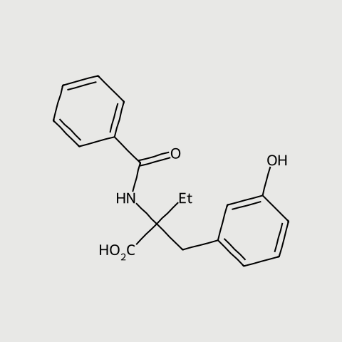 CCC(Cc1cccc(O)c1)(NC(=O)c1ccccc1)C(=O)O